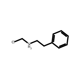 ClC[SiH2]CCc1ccccc1